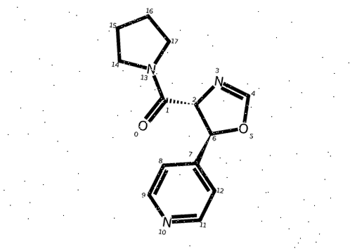 O=C([C@@H]1N=CO[C@H]1c1ccncc1)N1CCCC1